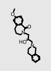 COc1ccc2c(c1)CCCN(C[C@H](O)CN1CCc3ccccc3C1)C2=O